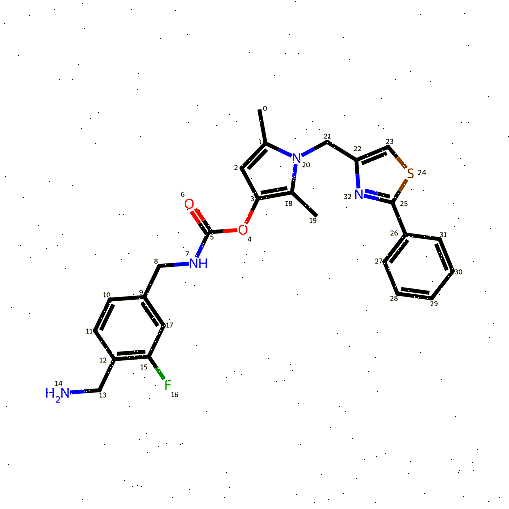 Cc1cc(OC(=O)NCc2ccc(CN)c(F)c2)c(C)n1Cc1csc(-c2ccccc2)n1